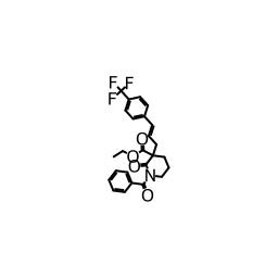 CCOC(=O)C1(CC=Cc2ccc(C(F)(F)F)cc2)CCCN(C(=O)c2ccccc2)C1=O